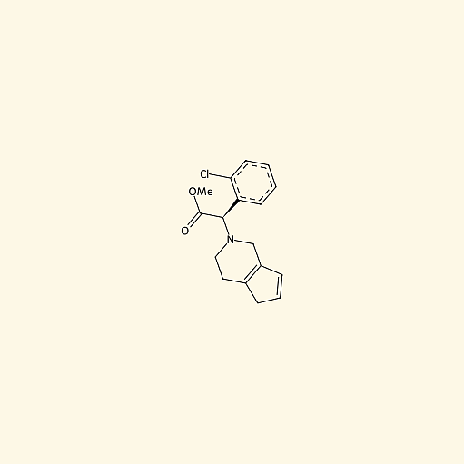 COC(=O)[C@@H](c1ccccc1Cl)N1CCC2=C(C=CC2)C1